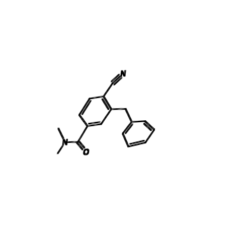 CN(C)C(=O)c1ccc(C#N)c(Cc2ccccc2)c1